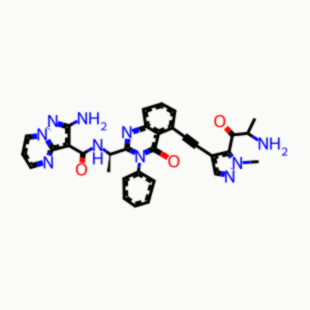 CC(N)C(=O)c1c(C#Cc2cccc3nc([C@@H](C)NC(=O)c4c(N)nn5cccnc45)n(-c4ccccc4)c(=O)c23)cnn1C